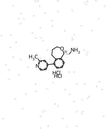 Cc1cc(-c2cccc3c2CCCO[C@@H]3CN)ccn1.Cl.Cl